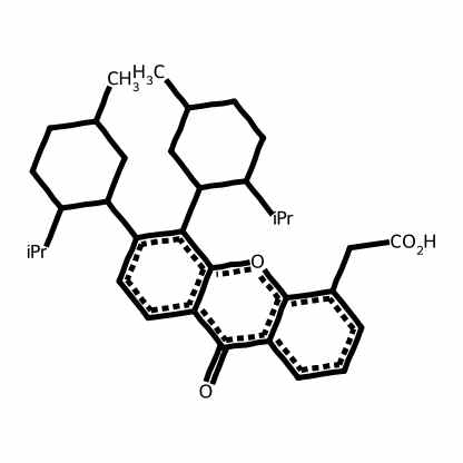 CC1CCC(C(C)C)C(c2ccc3c(=O)c4cccc(CC(=O)O)c4oc3c2C2CC(C)CCC2C(C)C)C1